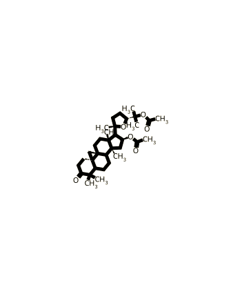 CC(=O)O[C@H]1C[C@@]2(C)C3CCC4C(C)(C)C(=O)CC[C@@]45C[C@@]35CC[C@]2(C)C1[C@]1(C)CC[C@H](C(C)(C)OC(C)=O)O1